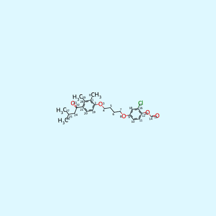 Cc1c(OCCCCOc2ccc(OC=O)c(Cl)c2)ccc(C(=O)CC(C)C)c1C